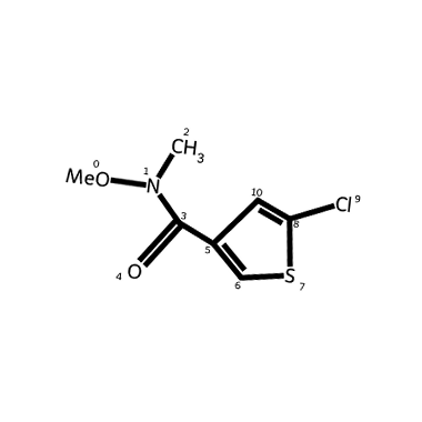 CON(C)C(=O)c1csc(Cl)c1